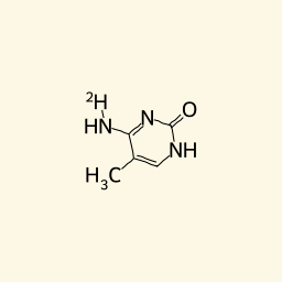 [2H]Nc1nc(=O)[nH]cc1C